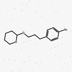 CC(=O)c1ccc(CCCOC2CCCCO2)cc1